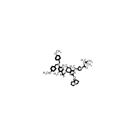 COc1ccc(CN(Cc2ccc(OC)cc2)c2cc(C)c(C(F)(F)F)c([C@H]3Cc4nc(OCC56CCCN5CCC6)nc(N(C)[C@@H]5CCN(C(=O)OC(C)(C)C)C5)c4C[C@@H]3C)n2)cc1